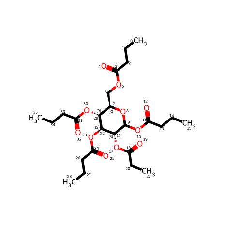 CCCC(=O)OC[C@H]1OC(OC(=O)CCC)[C@H](OC(=O)CC)[C@@H](OC(=O)CCC)[C@@H]1OC(=O)CCC